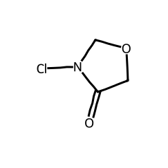 O=C1COCN1Cl